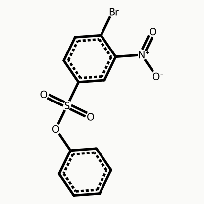 O=[N+]([O-])c1cc(S(=O)(=O)Oc2ccccc2)ccc1Br